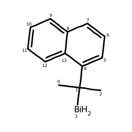 C[C](C)([BiH2])c1cccc2ccccc12